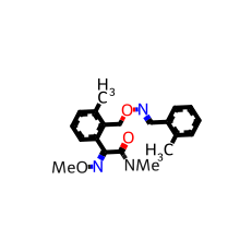 CNC(=O)/C(=N/OC)c1cccc(C)c1CO/N=C/c1ccccc1C